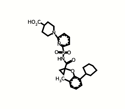 Cc1cccc(C2CCCCC2)c1OC1(C(=O)NS(=O)(=O)c2cccc(N3CCC(C(=O)O)CC3)n2)CC1